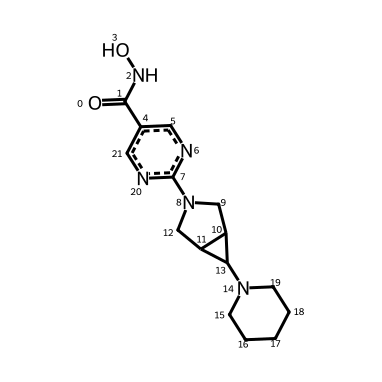 O=C(NO)c1cnc(N2CC3C(C2)C3N2CCCCC2)nc1